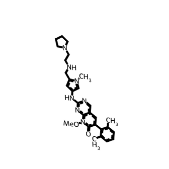 COn1c(=O)c(-c2c(C)cccc2C)cc2cnc(Nc3cc(CNCCN4CCCC4)n(C)c3)nc21